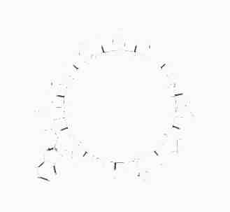 CO[C@H]([C@H](C)Cc1nc2ccccc2[nH]1)[C@@H]1C(=O)N[C@H]([C@@H](C)OC)C(=O)N(C)CC(=O)CN(C)[C@@H](CC(C)C)C(=O)N[C@H](CC(C)C)C(=O)N(C)[C@H](CC(C)C)C(=O)N[C@H](C)C(=O)O[C@@H](C(C)C)C(=O)N(C)[C@H](CC(C)C)C(=O)N[C@H](CC(C)C)C(=O)N(C)[C@H](C(C)C)C(=O)N1C